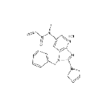 C=CC(=O)N(C)c1cnc2nc(N3CC=CC3)n(Cc3ccccc3)c2c1.Cl